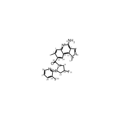 Cc1cc2nc(N)c3cnn(C)c3c2cc1C(=O)N1CC(F)CN1c1ncccc1F